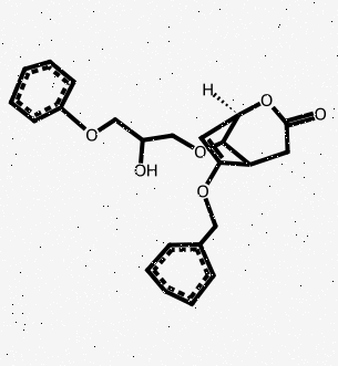 O=C1CC2C(OCc3ccccc3)=C[C@@H](O1)C2OCC(O)COc1ccccc1